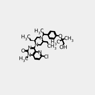 CCC1CN(c2nc(=O)n(C)c3ccc(Cl)nc23)[C@@H](CC)CN1C(C)c1ccc(OC(C)(C)CO)cc1